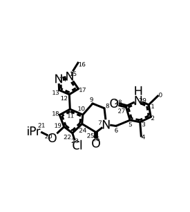 Cc1cc(C)c(CN2CCc3c(-c4cnn(C)c4)cc(OC(C)C)c(Cl)c3C2=O)c(=O)[nH]1